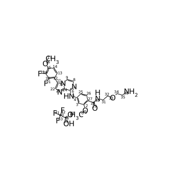 COc1cc(Nc2nccn3c(-c4ccc(OC)c(F)c4F)cnc23)ccc1C(=O)NCCOCCN.O=C(O)C(F)(F)F